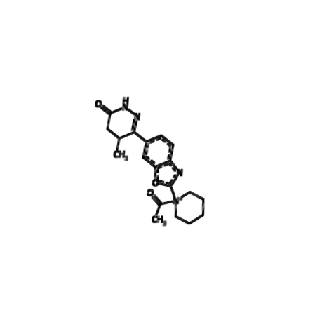 CC(=O)[N+]1(c2nc3ccc(C4=NNC(=O)CC4C)cc3o2)CCCCC1